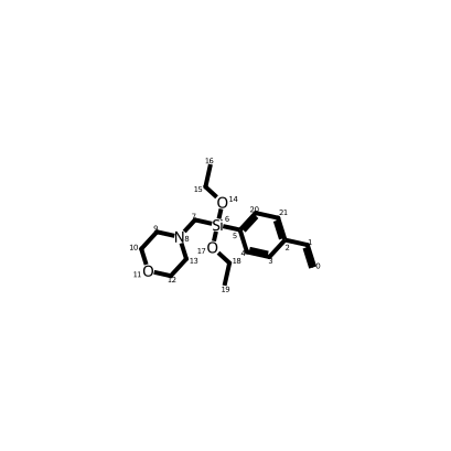 C=Cc1ccc([Si](CN2CCOCC2)(OCC)OCC)cc1